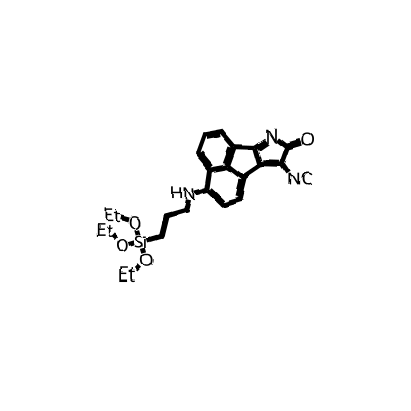 [C-]#[N+]C1=C2C(=NC1=O)c1cccc3c(NCCC[Si](OCC)(OCC)OCC)ccc2c13